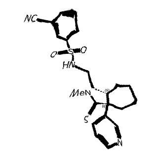 CNC(=S)[C@]1(c2cccnc2)CCCC[C@H]1CCNS(=O)(=O)c1cccc(C#N)c1